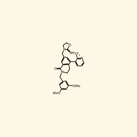 COc1cc(CN2CCc3c(cc(CN4CCOC4=N)cc3-c3cccnc3C(F)(F)F)C2=O)cc(OC)c1